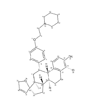 C[C@]12C[C@H](c3ccc(OCCN4CCCCC4)cc3)[C@@H]3c4ccc(O)c(Cl)c4CC[C@H]3[C@@H]1CC[C@@]21C=CCO1